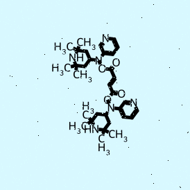 CC1(C)CC(N(OC(=O)/C=C/C(=O)ON(c2cccnc2)C2CC(C)(C)NC(C)(C)C2)c2cccnc2)CC(C)(C)N1